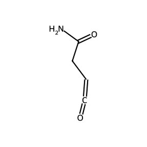 NC(=O)CC=C=O